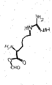 N=C(N)NCCC[C@H](N)C(=O)OC=O